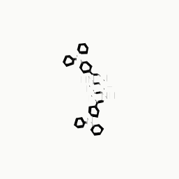 C1=C(c2ccc(N(c3ccccc3)c3ccccc3)cc2)NC2NC3NC(c4ccc(N(c5ccccc5)c5ccccc5)cc4)CNC3NC2N1